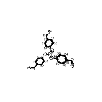 S=Cc1ccc(OP(Oc2ccc(C=S)cc2)Oc2ccc(C=S)cc2)cc1